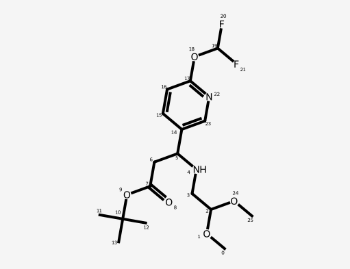 COC(CNC(CC(=O)OC(C)(C)C)c1ccc(OC(F)F)nc1)OC